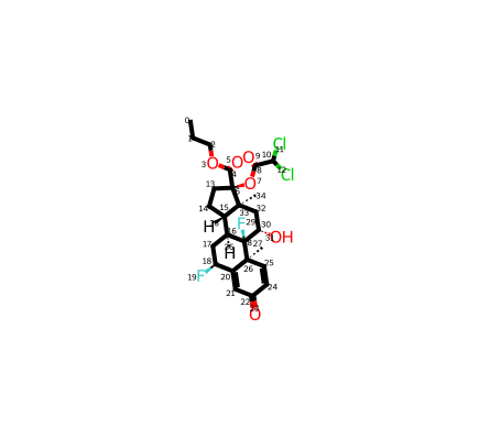 CCCOC(=O)[C@@]1(OC(=O)C(Cl)Cl)CC[C@H]2[C@@H]3C[C@H](F)C4=CC(=O)C=C[C@]4(C)[C@@]3(F)[C@@H](O)C[C@@]21C